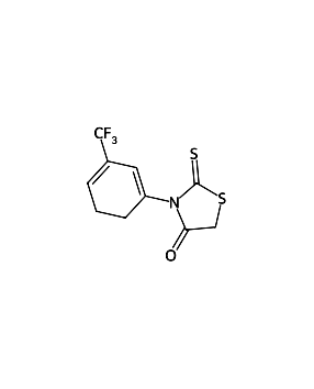 O=C1CSC(=S)N1C1=CC(C(F)(F)F)=CCC1